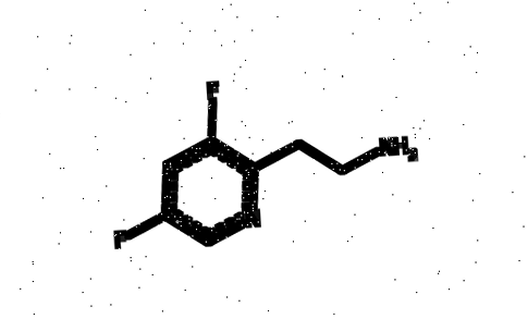 NCCc1ncc(F)cc1F